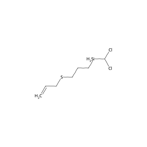 C=CCSCCC[SiH2]C(Cl)Cl